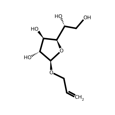 C=CCO[C@@H]1O[C@H]([C@H](O)CO)[C@H](O)[C@H]1O